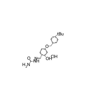 CC(C)(C)c1ccc(COc2ccc(C=NNC(N)=O)c(O)c2)cc1.Cl